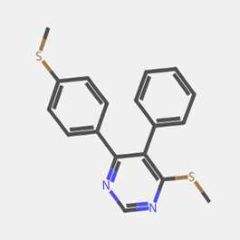 CSc1ccc(-c2ncnc(SC)c2-c2ccccc2)cc1